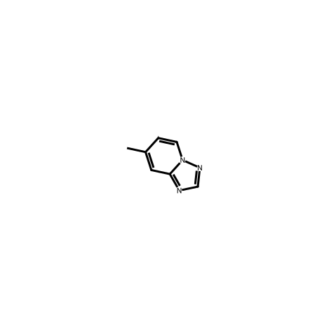 Cc1[c]cn2ncnc2c1